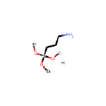 CCO[Si](CCCN)(OCC)OCC.[H+]